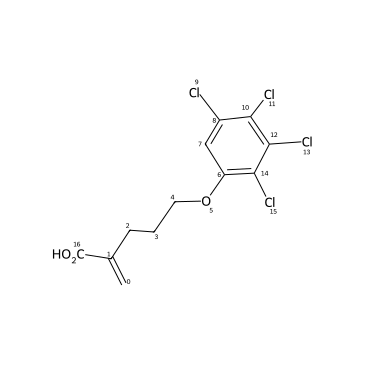 C=C(CCCOc1cc(Cl)c(Cl)c(Cl)c1Cl)C(=O)O